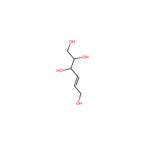 OCC=CC(O)C(O)CO